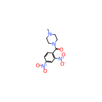 CN1CCN(C(=O)c2ccc([N+](=O)[O-])cc2[N+](=O)[O-])CC1